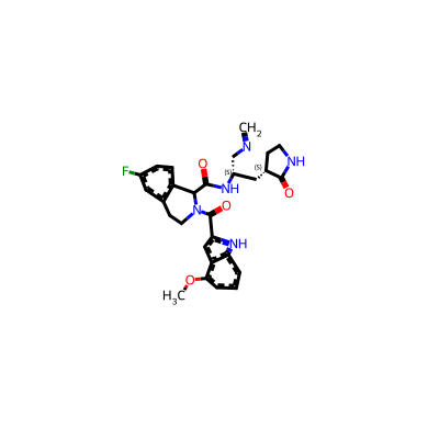 C=NC[C@H](C[C@@H]1CCNC1=O)NC(=O)C1c2ccc(F)cc2CCN1C(=O)c1cc2c(OC)cccc2[nH]1